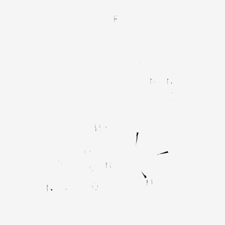 Cc1cc2c(cnn2-c2ccc(F)cc2)cc1[C@]12CN(S(=O)(=O)c3cncs3)C[C@H]1[C@@H]2c1ccccc1